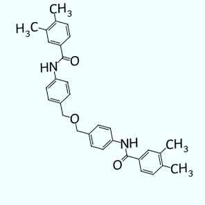 Cc1ccc(C(=O)Nc2ccc(COCc3ccc(NC(=O)c4ccc(C)c(C)c4)cc3)cc2)cc1C